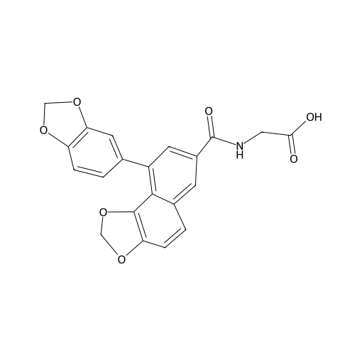 O=C(O)CNC(=O)c1cc(-c2ccc3c(c2)OCO3)c2c3c(ccc2c1)OCO3